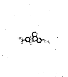 CCc1ccc2c(c1)C1OCCC[C@@H]1[C@@H](c1ccc(C(=O)O)cc1Cl)N2